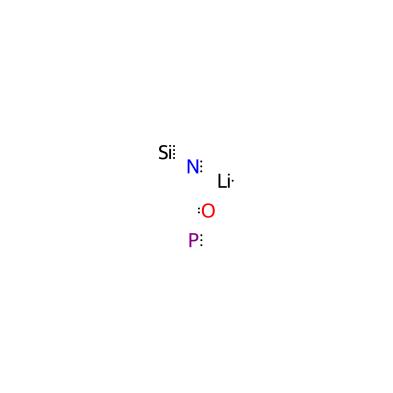 [Li].[N].[O].[P].[Si]